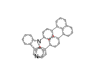 c1cc(-c2ccc(-c3ccncc3)cc2)c2c(-c3ccc(-n4c5ccccc5c5ccccc54)cc3)cccc2c1